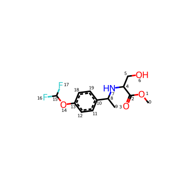 COC(=O)C(CO)NC(C)c1ccc(OC(F)F)cc1